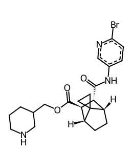 O=C(OCC1CCCNC1)[C@H]1[C@H](C(=O)Nc2ccc(Br)nc2)[C@@H]2CC[C@H]1C21CC1